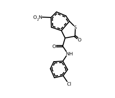 O=C(Nc1cccc(Cl)c1)C1C(=O)Sc2ccc([N+](=O)[O-])cc21